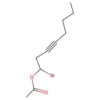 CCCCC#CCC(Br)OC(C)=O